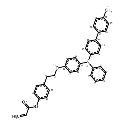 C=CC(=O)Oc1ccc(CCOc2ccc(N(c3ccccc3)c3ccc(-c4ccc(C)cc4)cc3)cc2)cc1